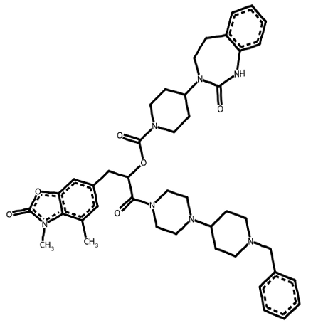 Cc1cc(CC(OC(=O)N2CCC(N3CCc4ccccc4NC3=O)CC2)C(=O)N2CCN(C3CCN(Cc4ccccc4)CC3)CC2)cc2oc(=O)n(C)c12